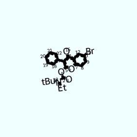 CCN(C(=O)Oc1oc2ccc(Br)cc2c(=O)c1-c1ccccc1)C(C)(C)C